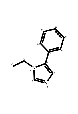 CCn1[c]ncc1-c1ccccc1